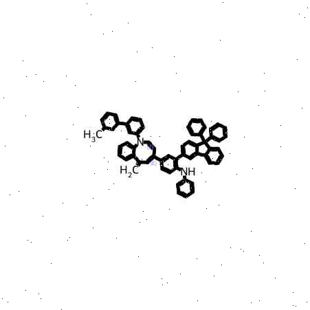 C=C1/C=C(c2ccc(Nc3ccccc3)c(-c3ccc4c(c3)-c3ccccc3C4(c3ccccc3)c3ccccc3)c2)\C=C/N(c2cccc(C3=CC=CC(C)C3)c2)c2ccccc21